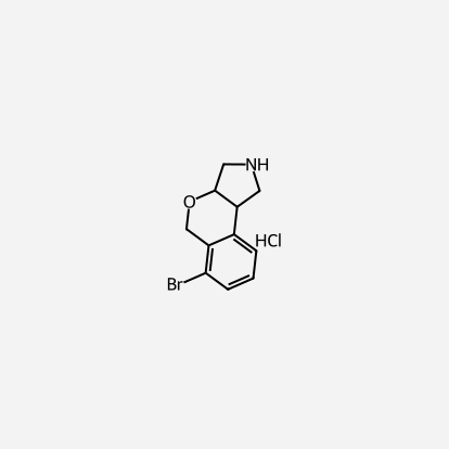 Brc1cccc2c1COC1CNCC21.Cl